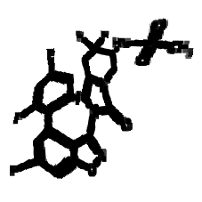 CS(=O)(=O)N[C@@H]1Cn2c(cn(-c3noc4cc(F)cc(-c5c(F)cc(F)cc5F)c34)c2=O)CC1(F)F